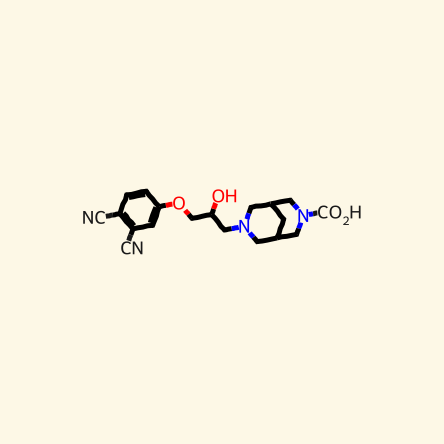 N#Cc1ccc(OCC(O)CN2CC3CC(C2)CN(C(=O)O)C3)cc1C#N